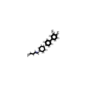 FCC/C=C/[C@H]1CC[C@H](c2ccc(-c3ccc(F)c(F)c3)cc2)CC1